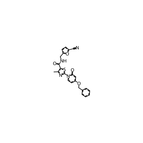 Cc1nc(-n2ccc(OCc3ccccc3)cc2=O)sc1C(=O)NCc1ccc(C#N)o1